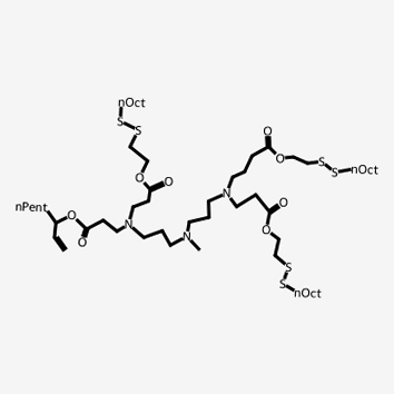 C=CC(CCCCC)OC(=O)CCN(CCCN(C)CCCN(CCCC(=O)OCCSSCCCCCCCC)CCC(=O)OCCSSCCCCCCCC)CCC(=O)OCCSSCCCCCCCC